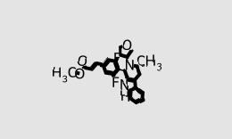 COC(=O)/C=C/c1cc(F)c([C@@H]2c3[nH]c4ccccc4c3C[C@@H](C)N2[C@H]2CCOC2)c(F)c1